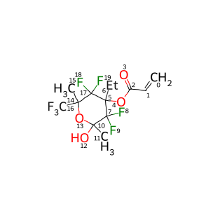 C=CC(=O)OC1(CC)C(F)(F)C(C)(O)OC(C)(C(F)(F)F)C1(F)F